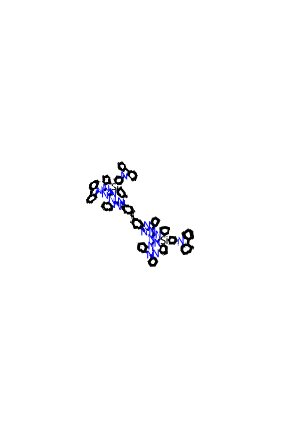 c1ccc([Si](c2ccccc2)(c2ccc(-n3c4ccccc4c4ccccc43)cc2)c2nc(-n3c4ccccc4c4ccccc43)nc(-n3c4ccccc4n4c5cc(-c6ccc7nc8n(-c9nc(-n%10c%11ccccc%11n%11c%12ccccc%12nc%10%11)nc([Si](c%10ccccc%10)(c%10ccccc%10)c%10ccc(-n%11c%12ccccc%12c%12ccccc%12%11)cc%10)n9)c9ccccc9n8c7c6)ccc5nc34)n2)cc1